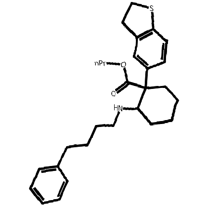 CCCOC(=O)C1(c2ccc3c(c2)CCS3)CCCCC1NCCCCc1ccccc1